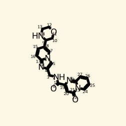 O=C(NCc1cn2cc(C3COCCN3)ccc2n1)c1cc(=O)n2ccccc2n1